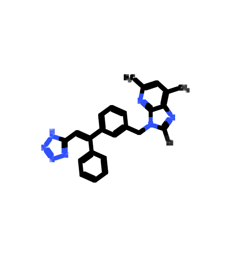 CCc1nc2c(C)cc(C)nc2n1Cc1cccc(C(=Cc2nnn[nH]2)c2ccccc2)c1